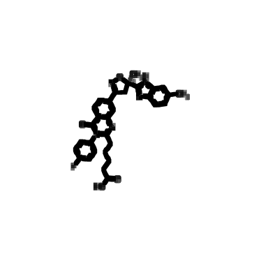 Cc1ccc2nc([C@@]3(C)CC(c4ccc5c(=O)n(-c6ccc(F)cc6)c(CCCCC(=O)O)nc5c4)=NO3)[nH]c2c1